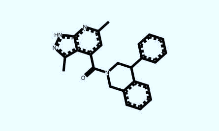 Cc1cc(C(=O)N2Cc3ccccc3C(c3ccccc3)C2)c2c(C)n[nH]c2n1